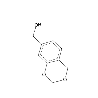 OCc1ccc2c(c1)OCOC2